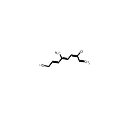 C=C\C(Cl)=C/C=C(C)/C=C/CO